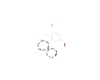 COc1cc(Cl)ccc1[C@@]1(N)[C@H](CC(C)(C)C)N[C@H](C(=O)O)[C@@H]1c1cccc(Cl)c1